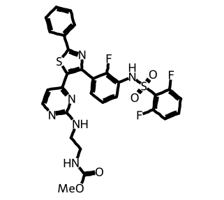 COC(=O)NCCNc1nccc(-c2sc(-c3ccccc3)nc2-c2cccc(NS(=O)(=O)c3c(F)cccc3F)c2F)n1